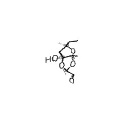 CC[C@]1(C)C[C@]2(O)O[C@](C)(C=O)O[C@@]2(C)O1